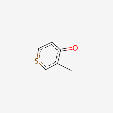 Cc1csccc1=O